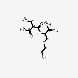 CCCSCC(OC(=O)C(CO)C(=O)O)C(=O)O